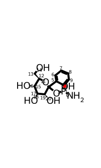 NP(O)OC1(c2ccccc2)O[C@H](CO)[C@@H](O)[C@H](O)[C@H]1O